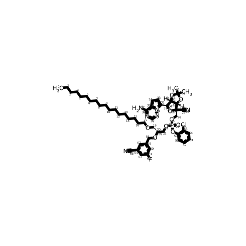 CCCCCCCCCCCCCCCCCCOC[C@H](COP(=O)(OC[C@@]1(C#N)O[C@@H](c2ccc3c(N)ncnn23)[C@@H]2OC(C)(C)O[C@@H]21)Oc1ccccc1Cl)OCc1cc(F)cc(C#N)c1